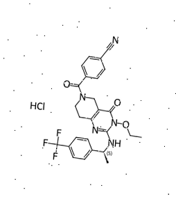 CCOn1c(N[C@@H](C)c2ccc(C(F)(F)F)cc2)nc2c(c1=O)CN(C(=O)c1ccc(C#N)cc1)CC2.Cl